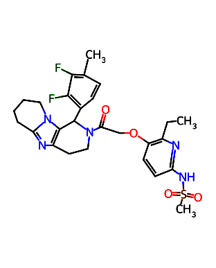 CCc1nc(NS(C)(=O)=O)ccc1OCC(=O)N1CCc2nc3n(c2C1c1ccc(C)c(F)c1F)CCCC3